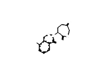 O=C1CCC(n2ncc3c(O)cccc3c2=O)C(=O)NC1